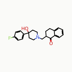 O=C1c2ccccc2CCC1CN1CCC(O)(c2ccc(F)cc2)CC1